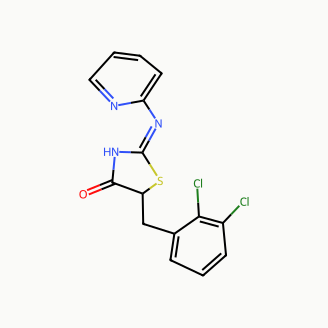 O=C1N/C(=N\c2ccccn2)SC1Cc1cccc(Cl)c1Cl